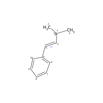 C[Si](C)/C=C/c1ccccc1